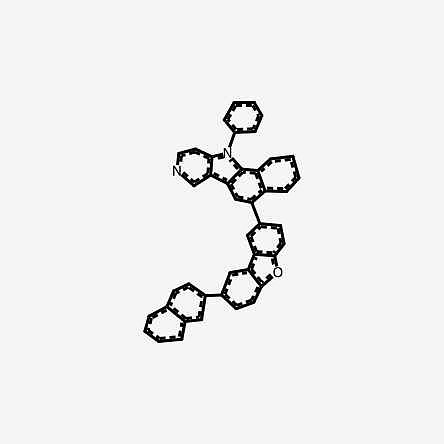 c1ccc(-n2c3ccncc3c3cc(-c4ccc5oc6ccc(-c7ccc8ccccc8c7)cc6c5c4)c4ccccc4c32)cc1